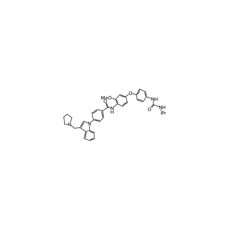 COc1cc(Oc2ccc(NC(=O)NC(C)C)cc2)ccc1NC(=O)c1ccc(-n2cc(CN3CCCC3)c3ccccc32)cc1